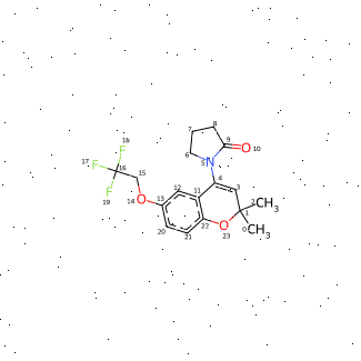 CC1(C)C=C(N2CCCC2=O)c2cc(OCC(F)(F)F)ccc2O1